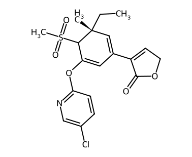 CC[C@]1(C)C=C(C2=CCOC2=O)C=C(Oc2ccc(Cl)cn2)C1S(C)(=O)=O